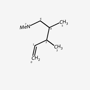 C=CC(C)C(C)CNC